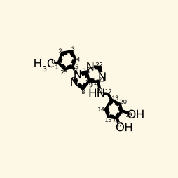 Cc1cccc(-n2ncc3c(NCc4ccc(O)c(O)c4)ncnc32)c1